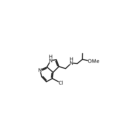 COC(C)CNCc1c[nH]c2nccc(Cl)c12